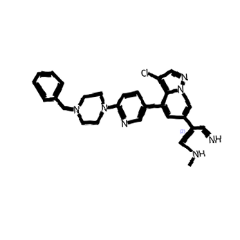 CN/C=C(\C=N)c1cc(-c2ccc(N3CCN(Cc4ccccc4)CC3)nc2)c2c(Cl)cnn2c1